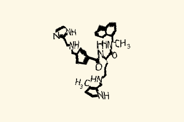 Cc1cc[nH]c1CNCCC[C@H](NC(=O)c1ccc(CNCc2ncc[nH]2)cc1)C(=O)N[C@@H](C)c1cccc2ccccc12